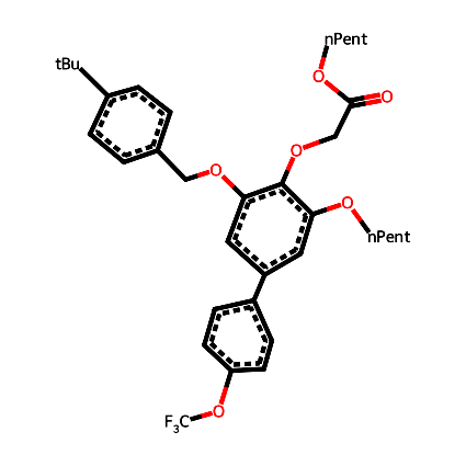 CCCCCOC(=O)COc1c(OCCCCC)cc(-c2ccc(OC(F)(F)F)cc2)cc1OCc1ccc(C(C)(C)C)cc1